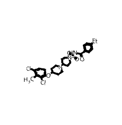 CCc1ccc(C(=O)NS(=O)(=O)N2CCC(N3CCC(Oc4ccc(Cl)c(C)c4Cl)CC3)CC2)cc1